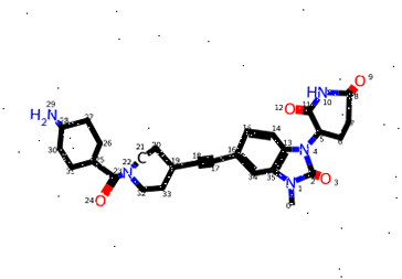 Cn1c(=O)n(C2CCC(=O)NC2=O)c2ccc(C#CC3CCN(C(=O)C4CCC(N)CC4)CC3)cc21